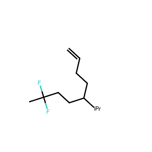 C=CCCC(CCC(C)(F)F)C(C)C